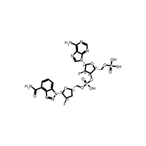 NC(=O)c1cccc2c1nnn2[C@@H]1O[C@H](COP(=O)(O)O[C@H]2[C@@H](F)[C@H](n3cnc4c(N)ncnc43)O[C@@H]2COP(=O)(O)S)C[C@H]1F